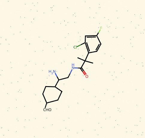 CC(C)(C(=O)NCC(N)C1CCC(C=O)CC1)c1ccc(F)cc1Cl